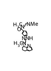 CNCCN(C)C(=O)c1ccc2[nH]c(CN(C)C3CCCc4cccnc43)nc2c1